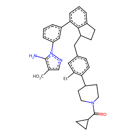 CCc1cc(CC2CCc3cccc(-c4cccc(-n5ncc(C(=O)O)c5N)c4)c32)ccc1C1CCN(C(=O)C2CC2)CC1